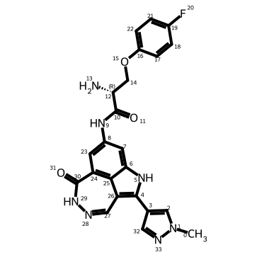 Cn1cc(-c2[nH]c3cc(NC(=O)[C@H](N)COc4ccc(F)cc4)cc4c3c2C=NNC4=O)cn1